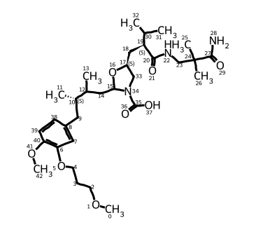 COCCCOc1cc(C[C@H](C)C(C)CC2O[C@@H](C[C@H](C(=O)NCC(C)(C)C(N)=O)C(C)C)CN2C(=O)O)ccc1OC